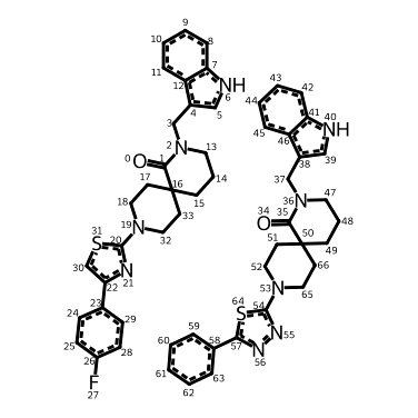 O=C1N(Cc2c[nH]c3ccccc23)CCCC12CCN(c1nc(-c3ccc(F)cc3)cs1)CC2.O=C1N(Cc2c[nH]c3ccccc23)CCCC12CCN(c1nnc(-c3ccccc3)s1)CC2